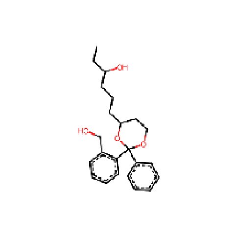 CCC(O)CCCC1CCOC(c2ccccc2)(c2ccccc2CO)O1